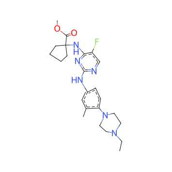 CCN1CCN(c2ccc(Nc3ncc(F)c(NC4(C(=O)OC)CCCC4)n3)cc2C)CC1